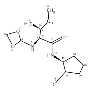 CO[C@H](C)[C@H](NC1OCO1)C(=O)N[C@H]1CCCC1P